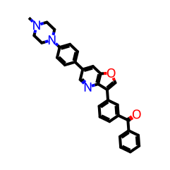 CN1CCN(c2ccc(-c3cnc4c(-c5cccc(C(=O)c6ccccc6)c5)coc4c3)cc2)CC1